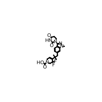 Cn1nc(N2CCC(=O)NC2=O)c2ccc(CC(C)(C)C3=CCN(C(=O)O)CC3(F)F)cc21